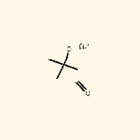 CC(C)(C)[O-].[C]=O.[Cu+]